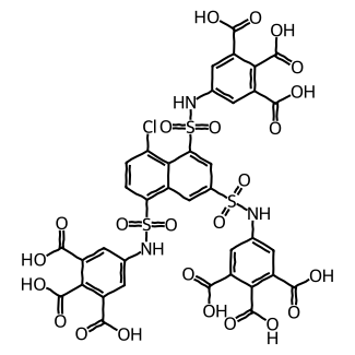 O=C(O)c1cc(NS(=O)(=O)c2cc(S(=O)(=O)Nc3cc(C(=O)O)c(C(=O)O)c(C(=O)O)c3)c3c(Cl)ccc(S(=O)(=O)Nc4cc(C(=O)O)c(C(=O)O)c(C(=O)O)c4)c3c2)cc(C(=O)O)c1C(=O)O